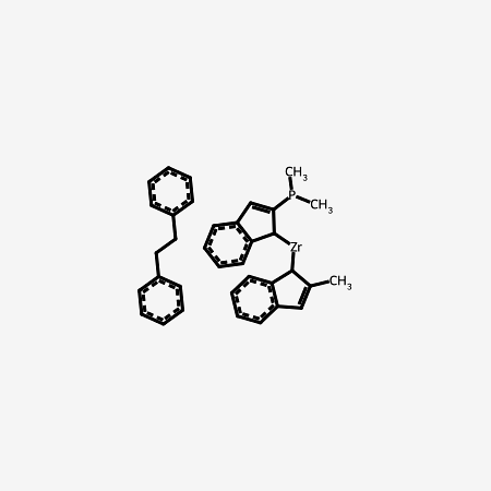 CC1=Cc2ccccc2[CH]1[Zr][CH]1C(P(C)C)=Cc2ccccc21.c1ccc(CCc2ccccc2)cc1